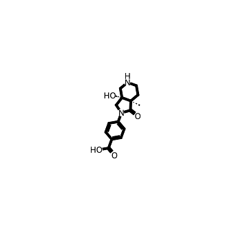 C[C@@]12CCNC[C@]1(O)CN(c1ccc(C(=O)O)cc1)C2=O